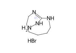 Br.NN/C1=N\CCCCCCN1